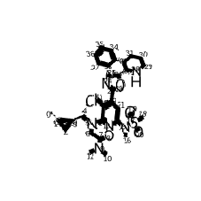 C[C@H]1C[C@@H]1CN(CC(=O)N(C)C)c1nc(N(C)S(C)(=O)=O)cc(-c2nnc([C@H]3NCCC[C@H]3c3ccccc3)o2)c1Cl